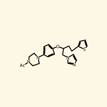 CC(=O)N1CCN(c2ccc(OC(CCc3cccs3)Cn3ccnc3)cc2)CC1